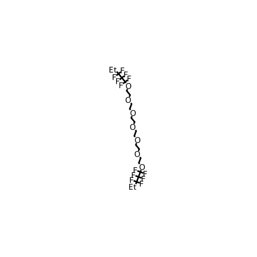 CCC(F)(F)C(F)(F)C(F)(F)OCCOCCOCCOCCOCCOCCOC(F)(F)C(F)(F)C(F)(F)CC